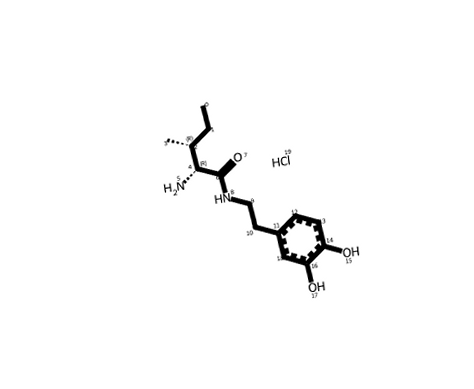 CC[C@@H](C)[C@@H](N)C(=O)NCCc1ccc(O)c(O)c1.Cl